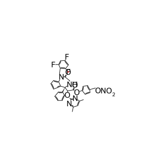 Cc1cc(C)nc(O[C@H](C(=O)Oc2ccc(CO[N+](=O)[O-])cc2)[C@@]2(c3ccccc3)NCC(=O)N(Cc3c(F)cc(F)cc3F)c3ccccc32)n1